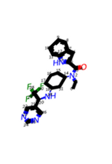 CCN(C(=O)c1cc2ccccc2[nH]1)[C@H]1CCC[C@@H](N[C@@H](c2cncnc2)C(F)(F)F)C1